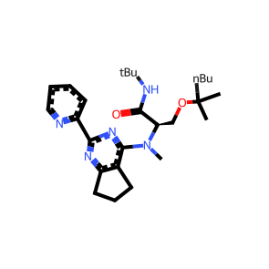 CCCCC(C)(C)OC[C@H](C(=O)NC(C)(C)C)N(C)c1nc(-c2ccccn2)nc2c1CCC2